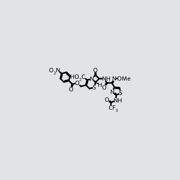 CON=C(C(=O)NC1C(=O)N2C(C(=O)O)=C(COC(=O)c3ccc([N+](=O)[O-])cc3)CS[C@@H]12)c1csc(NC(=O)C(F)(F)F)n1